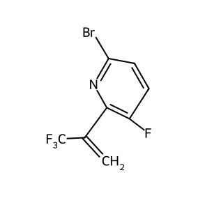 C=C(c1nc(Br)ccc1F)C(F)(F)F